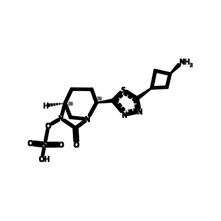 N[C@H]1C[C@@H](c2nnc([C@@H]3CC[C@H]4CN3C(=O)N4OS(=O)(=O)O)s2)C1